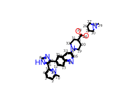 Cc1cccc(-c2[nH]cnc2-c2ccc3ncc(N4CCC(C(=O)O[C@@H]5CCN(C)C5)CC4)cc3c2)n1